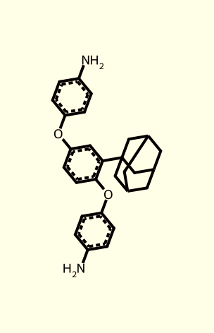 Nc1ccc(Oc2ccc(Oc3ccc(N)cc3)c(C34CC5CC(CC(C5)C3)C4)c2)cc1